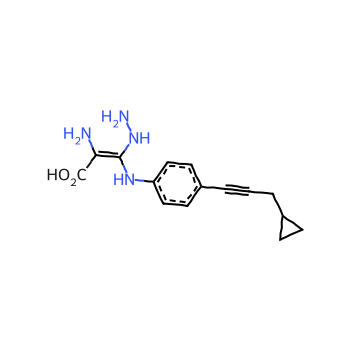 NN/C(Nc1ccc(C#CCC2CC2)cc1)=C(\N)C(=O)O